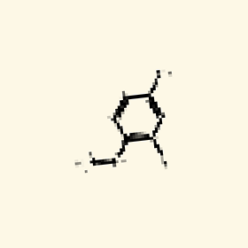 NNc1ccc(Cl)cc1Br